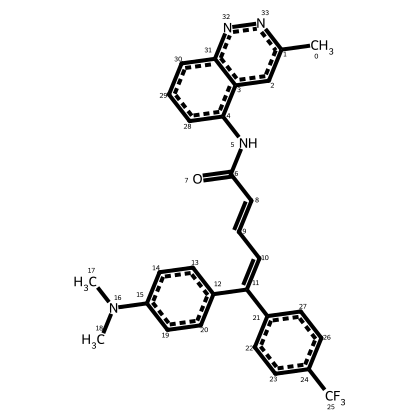 Cc1cc2c(NC(=O)/C=C/C=C(\c3ccc(N(C)C)cc3)c3ccc(C(F)(F)F)cc3)cccc2nn1